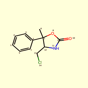 CC1(c2ccccc2)OC(=O)NC1CCl